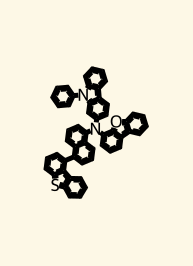 c1ccc(-n2c3ccccc3c3ccc(N(c4cccc5c(-c6cccc7sc8ccccc8c67)cccc45)c4cccc5c4oc4ccccc45)cc32)cc1